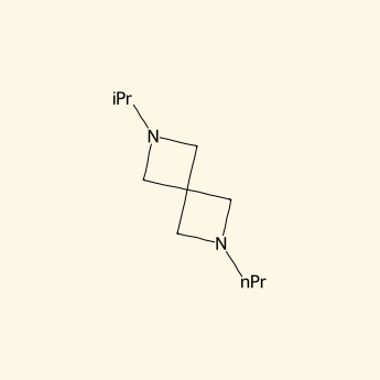 CCCN1CC2(C1)CN(C(C)C)C2